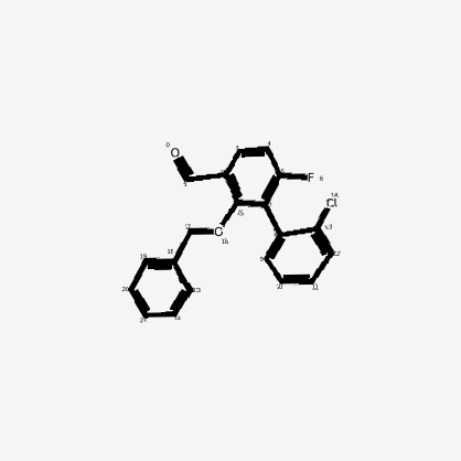 O=Cc1ccc(F)c(-c2ccccc2Cl)c1OCc1ccccc1